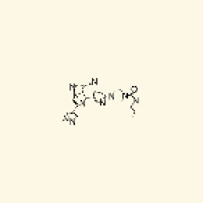 CCCN(C)C(=O)N1CCN(c2ccc(-c3nc(-c4cnn(C)c4)cn4ncc(C#N)c34)cn2)CC1